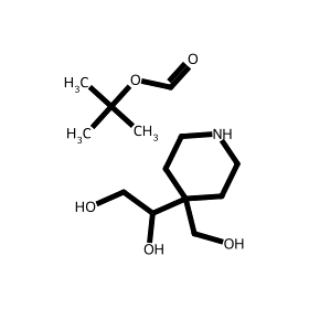 CC(C)(C)OC=O.OCC(O)C1(CO)CCNCC1